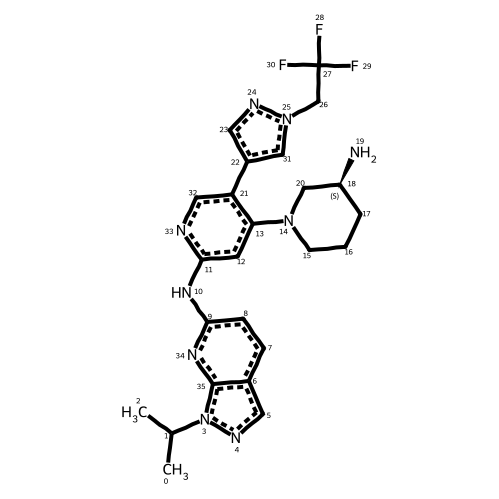 CC(C)n1ncc2ccc(Nc3cc(N4CCC[C@H](N)C4)c(-c4cnn(CC(F)(F)F)c4)cn3)nc21